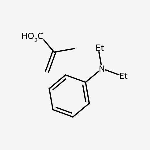 C=C(C)C(=O)O.CCN(CC)c1ccccc1